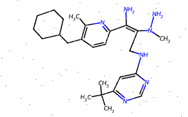 Cc1nc(/C(N)=C(\CNc2cc(C(C)(C)C)ncn2)N(C)N)ccc1CC1CCCCC1